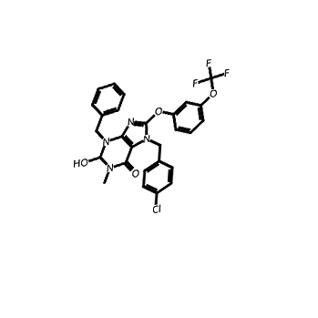 CN1C(=O)c2c(nc(Oc3cccc(OC(F)(F)F)c3)n2Cc2ccc(Cl)cc2)N(Cc2ccccc2)C1O